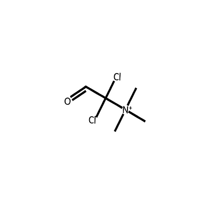 C[N+](C)(C)C(Cl)(Cl)C=O